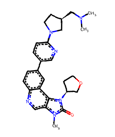 CN(C)C[C@@H]1CCN(c2ccc(-c3ccc4ncc5c(c4c3)n([C@H]3CCOC3)c(=O)n5C)cn2)C1